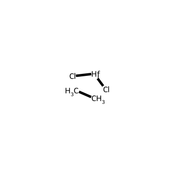 CC.[Cl][Hf][Cl]